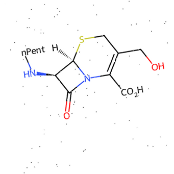 CCCCCN[C@@H]1C(=O)N2C(C(=O)O)=C(CO)CS[C@H]12